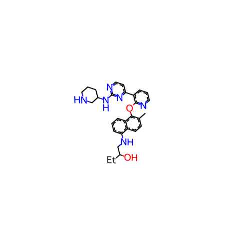 CCC(O)CNc1cccc2c(Oc3ncccc3-c3ccnc(NC4CCCNC4)n3)c(C)ccc12